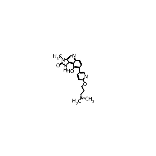 CN(C)CCCOc1ccc(-c2ccc3ncc4c([nH]c(=O)n4C)c3c2O)cn1